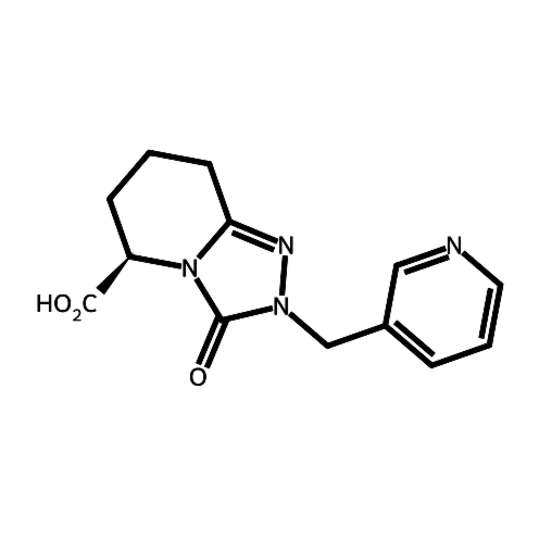 O=C(O)[C@H]1CCCc2nn(Cc3cccnc3)c(=O)n21